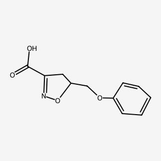 O=C(O)C1=NOC(COc2ccccc2)C1